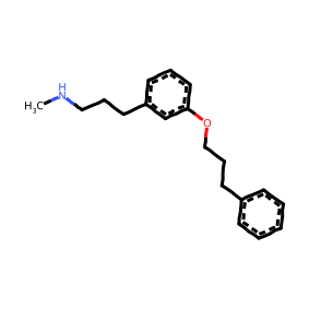 CNCCCc1cccc(OCCCc2ccccc2)c1